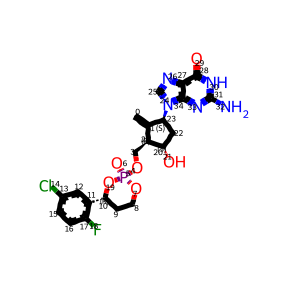 C=C1[C@H](COP2(=O)OCC[C@H](c3cc(Cl)ccc3F)O2)[C@@H](O)C[C@@H]1n1cnc2c(=O)[nH]c(N)nc21